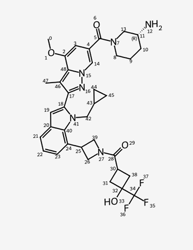 COc1cc(C(=O)N2CCC[C@@H](N)C2)cn2nc(-c3cc4cccc(C5CN(C(=O)C6CC(O)(C(F)(F)F)C6)C5)c4n3CC3CC3)c(C)c12